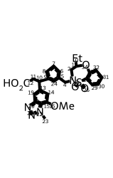 CCC1CN(Cc2cccc(C(CC(=O)O)c3cc(OC)c4c(c3)nnn4C)c2)S(=O)(=O)c2ccccc2O1